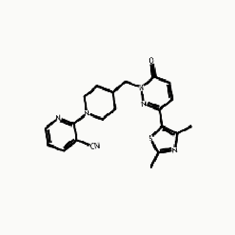 Cc1nc(C)c(-c2ccc(=O)n(CC3CCN(c4ncccc4C#N)CC3)n2)s1